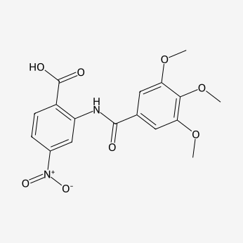 COc1cc(C(=O)Nc2cc([N+](=O)[O-])ccc2C(=O)O)cc(OC)c1OC